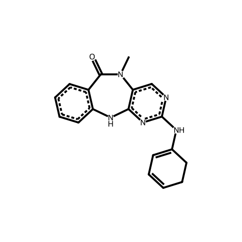 CN1C(=O)c2ccccc2Nc2nc(NC3=CC=CCC3)ncc21